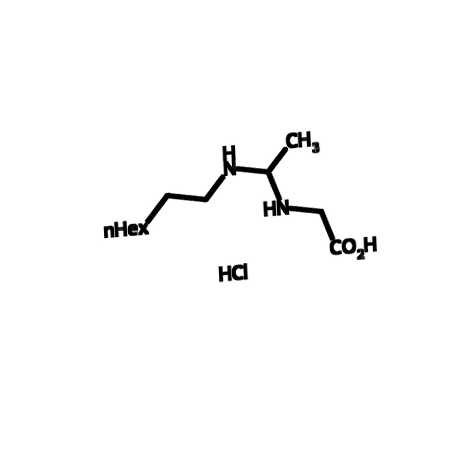 CCCCCCCCNC(C)NCC(=O)O.Cl